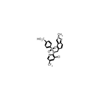 Cn1cc2cc(CN(c3ncc(C(F)(F)F)cc3Cl)S(=O)(=O)c3ccc(C(=O)O)cc3)ccc2n1